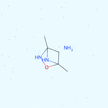 CC12CC(C)(N1)ON2.N